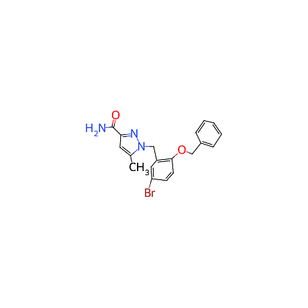 Cc1cc(C(N)=O)nn1Cc1cc(Br)ccc1OCc1ccccc1